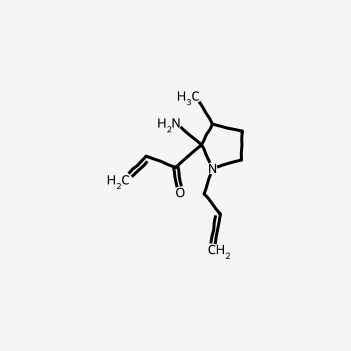 C=CCN1CCC(C)C1(N)C(=O)C=C